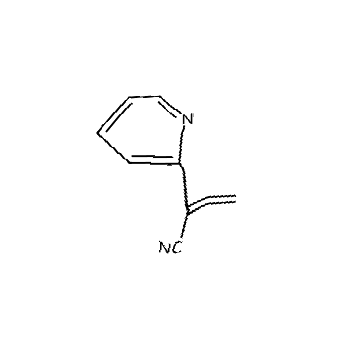 C=C(C#N)c1ccccn1